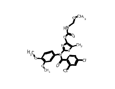 COCNC(=O)Oc1nc(N(C(=O)c2ccc(Cl)cc2Cl)c2ccc(OC)c(OC)c2)sc1C